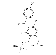 CC(C)c1nc2c(c(I)c1[C@@H](O)c1ccc(C#N)cc1)[C@@H](O[Si](C)(C)C(C)(C)C)CC(C)(C)C2